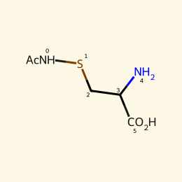 CC(=O)NSCC(N)C(=O)O